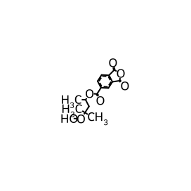 CC(CC(C)(C)OO)OC(=O)c1ccc2c(c1)C(=O)OC2=O